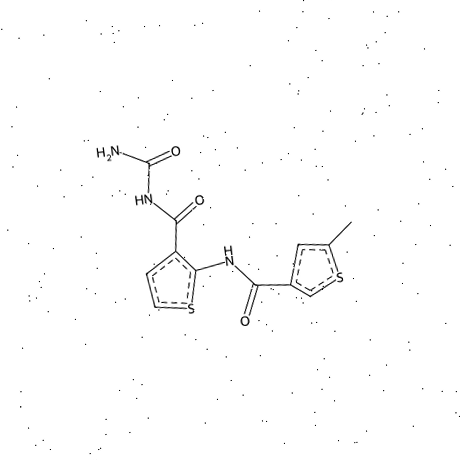 Cc1cc(C(=O)Nc2sccc2C(=O)NC(N)=O)cs1